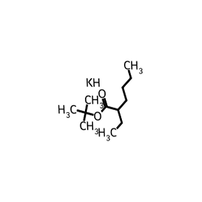 CCCCC(CC)C(=O)OC(C)(C)C.[KH]